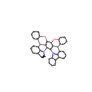 c1ccc2c(c1)Oc1c3c4c(c5c1B2c1cccc2c6ccccc6n-5c12)-n1c2ccccc2c2cccc(c21)B4c1ccccc1O3